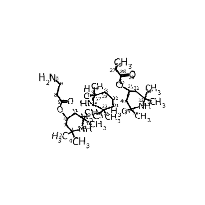 CC1(C)CC(OC(=O)CCN)CC(C)(C)N1.CC1(C)CCCC(C)(C)N1.CCC(=O)OC1CC(C)(C)NC(C)(C)C1